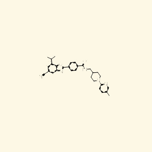 Cc1ccc(N2CCC(CNC(=O)c3ccc(-c4nc5cc(C#N)cc(C(C)C)c5o4)cc3)CC2)nc1